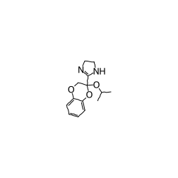 CC(C)OC1(C2=NCCN2)COc2ccccc2O1